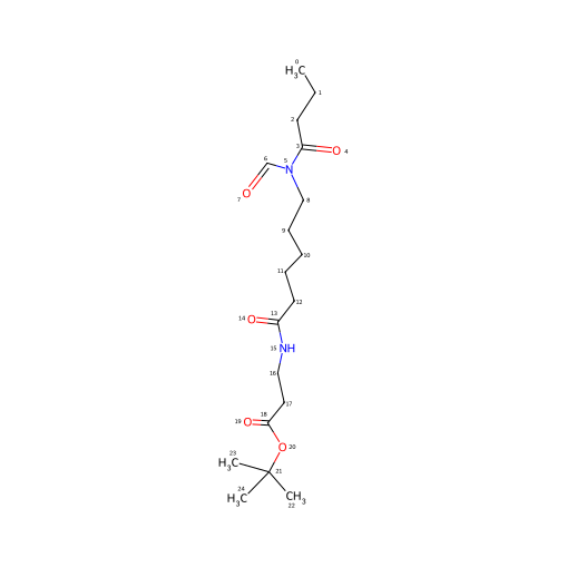 CCCC(=O)N(C=O)CCCCCC(=O)NCCC(=O)OC(C)(C)C